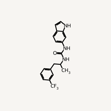 CC(Cc1cccc(C(F)(F)F)c1)NC(=O)Nc1ccc2cc[nH]c2c1